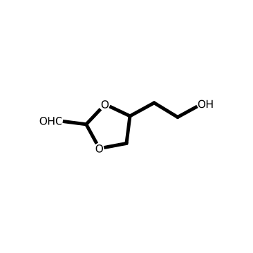 O=CC1OCC(CCO)O1